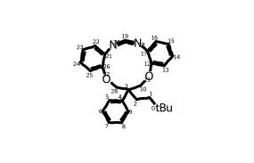 CC(C)(C)CCC1(c2ccccc2)COc2ccccc2N=C=Nc2ccccc2OC1